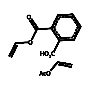 C=COC(=O)c1ccccc1C(=O)O.C=COC(C)=O